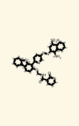 Nc1c(/N=N/c2ccc(-c3c(OCNC(=O)c4cccnc4Cl)ccc4c3sc3ccccc34)nc2)cc(S(=O)(=O)O)c2ccccc12